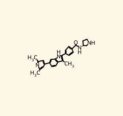 Cc1cc(-c2ccc3c(C)c(-c4ccc(C(=O)N[C@@H]5CCNC5)cc4)[nH]c3c2)cc(C)n1